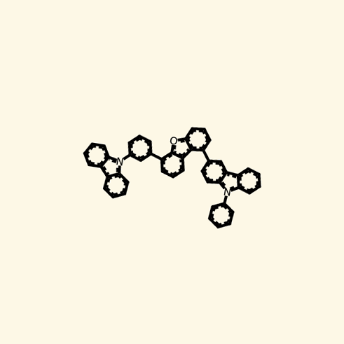 c1ccc(-n2c3ccccc3c3cc(-c4cccc5oc6c(-c7cccc(-n8c9ccccc9c9ccccc98)c7)cccc6c45)ccc32)cc1